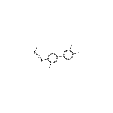 CN=C=Nc1ccc(-c2ccc(C)c(C)c2)cc1C